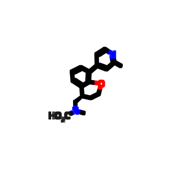 Cc1cc(-c2cccc3c2OCC[C@H]3CN(C)C(=O)O)ccn1